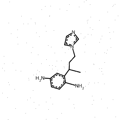 CC(CCn1ccnc1)c1cc(N)ccc1N